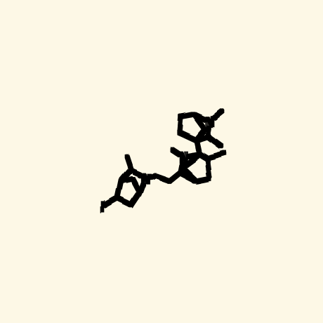 CC1C2CC(CC2I)N1CCC1C2CC(C)C(C34CCC(C3)N(C)C4C)(C2)N1C